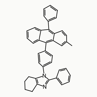 Cc1ccc2c(-c3ccccc3)c3ccccc3c(-c3ccc(-n4c(-c5ccccc5)nc5c4CCCC5)cc3)c2c1